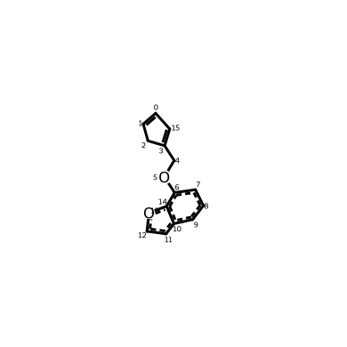 C1=CCC(COc2cccc3ccoc23)=C1